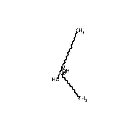 CCCCCCCCCCCCCCCCCCCOCC(O)CN(CCO)C(=O)CCCCCCCCCCCCCCC